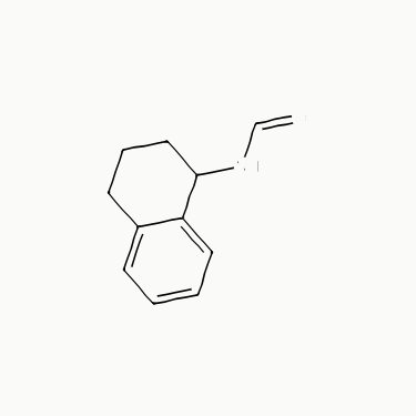 O=[C]NC1CCCc2ccccc21